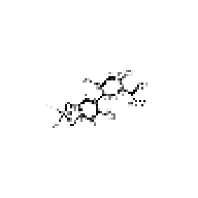 COC(=O)c1nc(-c2cc3c(cc2Cl)OC(F)(F)O3)c(F)cc1Cl